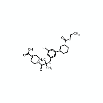 CCOC(=O)[C@@H]1CCCN(c2cc(Cl)cc(OC(C)(C)C(=O)N3CCN(C(=O)O)CC3)c2)C1